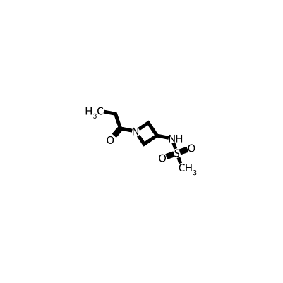 CCC(=O)N1CC(NS(C)(=O)=O)C1